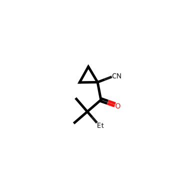 CCC(C)(C)C(=O)C1(C#N)CC1